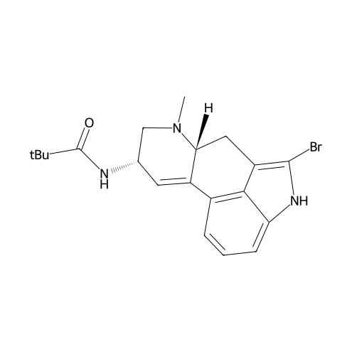 CN1C[C@@H](NC(=O)C(C)(C)C)C=C2c3cccc4[nH]c(Br)c(c34)C[C@H]21